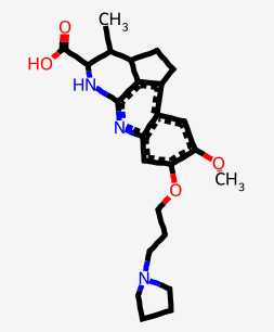 COc1cc2c3c4c(nc2cc1OCCCN1CCCC1)NC(C(=O)O)C(C)C4CC3